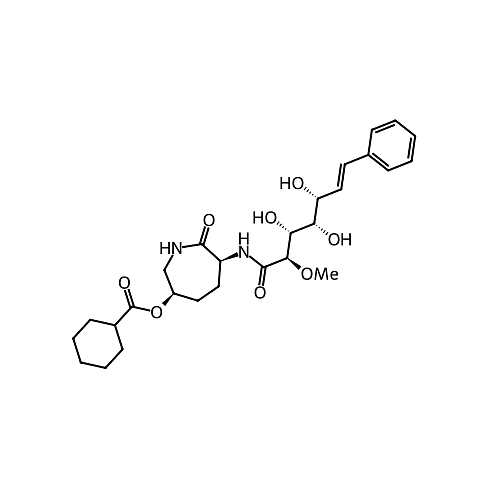 CO[C@@H](C(=O)N[C@H]1CC[C@@H](OC(=O)C2CCCCC2)CNC1=O)[C@H](O)[C@@H](O)[C@H](O)/C=C/c1ccccc1